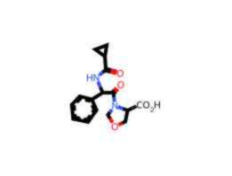 O=C(NC(C(=O)N1COCC1C(=O)O)c1ccccc1)C1CC1